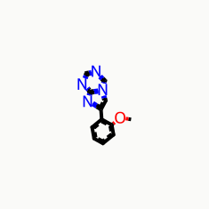 COc1ccccc1-c1cn2cncnc2n1